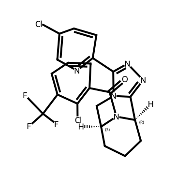 O=C(c1cccc(C(F)(F)F)c1Cl)N1[C@H]2CCC[C@@H]1c1nnc(-c3ccc(Cl)cn3)n1C2